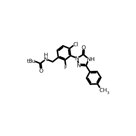 Cc1ccc(-c2nn(-c3c(Cl)ccc(CNC(=O)C(C)(C)C)c3F)c(=O)[nH]2)cc1